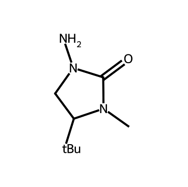 CN1C(=O)N(N)CC1C(C)(C)C